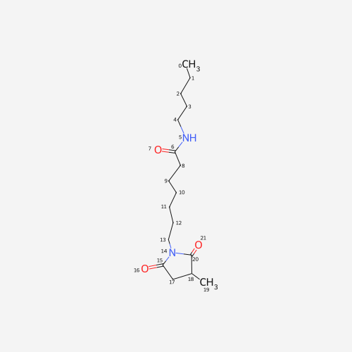 CCCCCNC(=O)CCCCCCN1C(=O)CC(C)C1=O